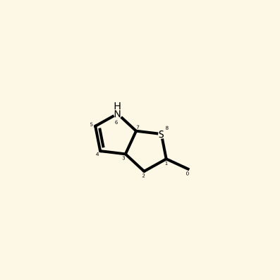 CC1CC2C=CNC2S1